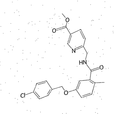 COC(=O)c1ccc(CNC(=O)c2cc(OCc3ccc(Cl)cc3)ccc2C)nc1